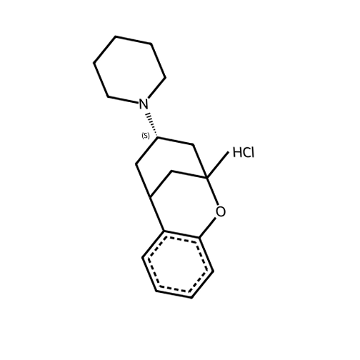 CC12CC(C[C@H](N3CCCCC3)C1)c1ccccc1O2.Cl